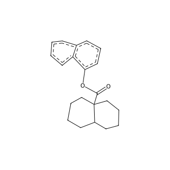 O=C(Oc1cccc2ccccc12)C12CCCCC1CCCC2